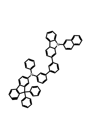 c1ccc2c(c#1)C(c1ccccc1)(c1ccccc1)c1cc(N(c3ccccc3)c3cccc(-c4cccc(C5=CC6C(C=C5)c5ccccc5N6c5ccc6ccccc6c5)c4)c3)ccc1-2